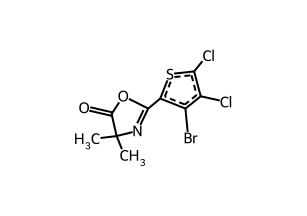 CC1(C)N=C(c2sc(Cl)c(Cl)c2Br)OC1=O